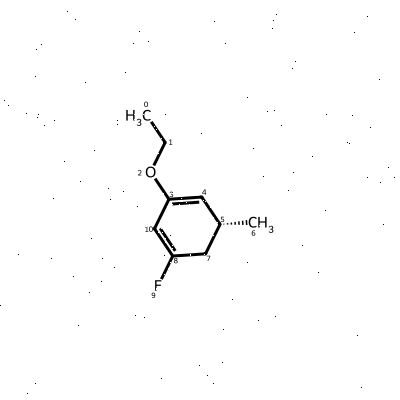 CCOC1=C[C@H](C)CC(F)=C1